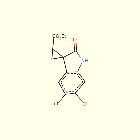 CCOC(=O)C1CC12C(=O)Nc1cc(Cl)c(Cl)cc12